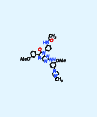 C=CC(=O)Nc1cccc(-n2c(=O)c(-c3cccc(OC)c3)nc3cnc(Nc4ccc(N5CCN(C)CC5)cc4OC)nc32)c1